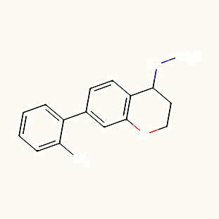 O=C(O)NC1CCOc2cc(-c3ccccc3C(F)(F)F)ccc21